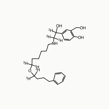 [2H]C([2H])(CCCCCNC([2H])([2H])C([2H])(O)c1ccc(O)c(CO)c1)OC([2H])([2H])CCCc1ccccc1